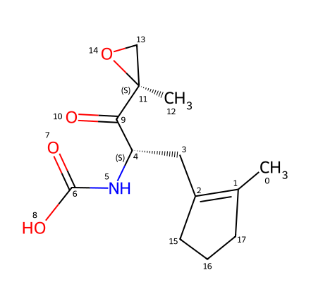 CC1=C(C[C@H](NC(=O)O)C(=O)[C@]2(C)CO2)CCC1